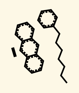 C=C.CCCCCCCc1ccccc1.c1ccc2cc3ccccc3cc2c1